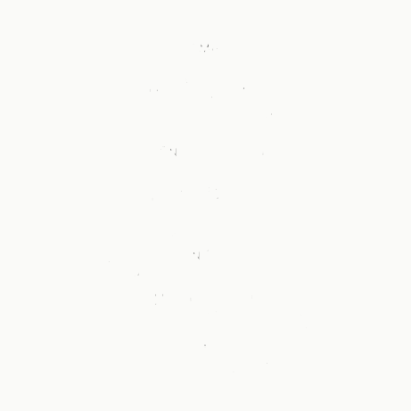 COC(=O)c1cccc2oc(-c3cccc4oc(-c5cccc(O)c5)nc34)nc12